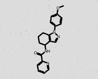 COc1ccc(-n2ncc3c2CCCC3NC(=O)c2ccccn2)cc1